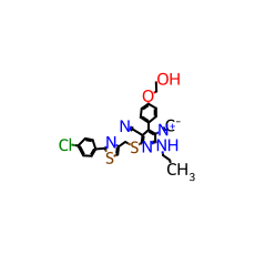 [C-]#[N+]c1c(NCCC)nc(SCc2csc(-c3ccc(Cl)cc3)n2)c(C#N)c1-c1ccc(OCCO)cc1